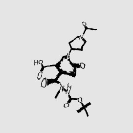 CC(=O)N1CCC(n2cc(C(=O)O)c(C(=O)N(C)NC(=O)OC(C)(C)C)cc2=O)CC1